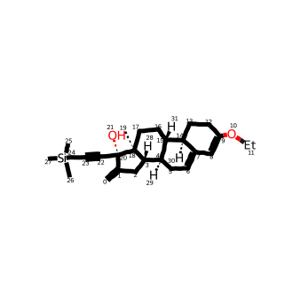 C=C1C[C@H]2[C@@H]3CC=C4C=C(OCC)CC[C@@H]4[C@H]3CC[C@]2(C)[C@]1(O)C#C[Si](C)(C)C